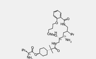 COCCCOc1ccccc1C(=O)NCC(C[C@H](N)[C@@H](O)CNC(=O)C(C)(C)[C@H]1CC[C@H](OC(=O)[C@@H](N)C(C)C)CC1)C(C)C